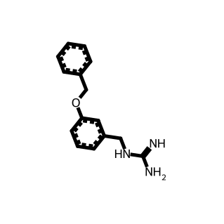 N=C(N)NCc1cccc(OCc2ccccc2)c1